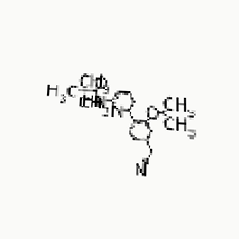 CC(C)Oc1cc(CC#N)ccc1-c1cccc(NC(=O)C(C)(C)C)n1